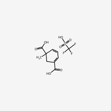 CC1(C(=O)O)C=CC=C(C(=O)O)C1.O=S(=O)(O)C(F)(F)F